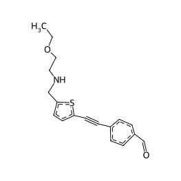 CCOCCNCc1ccc(C#Cc2ccc(C=O)cc2)s1